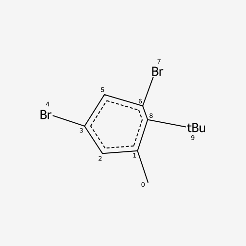 Cc1cc(Br)cc(Br)c1C(C)(C)C